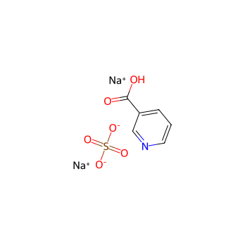 O=C(O)c1cccnc1.O=S(=O)([O-])[O-].[Na+].[Na+]